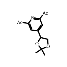 CC(=O)c1cc(C2COC(C)(C)O2)cc(C(C)=O)n1